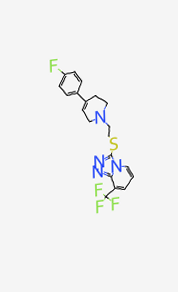 Fc1ccc(C2=CCN(CCSc3nnc4c(C(F)(F)F)cccn34)CC2)cc1